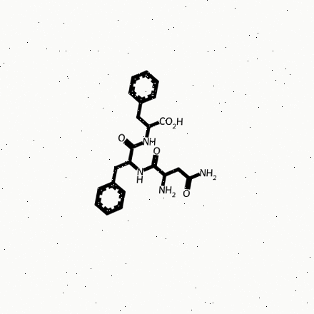 NC(=O)CC(N)C(=O)NC(Cc1ccccc1)C(=O)NC(Cc1ccccc1)C(=O)O